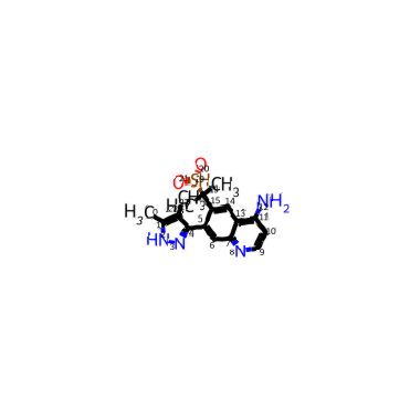 Cc1[nH]nc(-c2cc3nccc(N)c3cc2C(C)(C)[SH](=O)=O)c1C